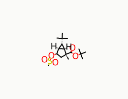 CC(C)(C)OC(=O)[C@]1(C)CC(OS(C)(=O)=O)[C@H]2[C@H](C(C)(C)C)[C@H]21